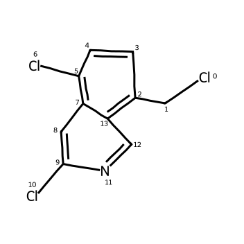 ClCc1ccc(Cl)c2cc(Cl)ncc12